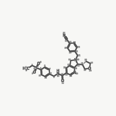 CCS(=O)(=O)c1ccc(CNC(=O)c2cnc3c(c2)CN(Cc2ccc(C#N)cc2)[C@H]3[C@@H]2CCOC2)cc1